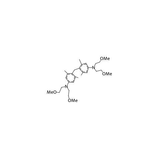 COCCN(CCOC)c1cc(C)c(Cc2c(C)cc(N(CCOC)CCOC)cc2C)c(C)c1